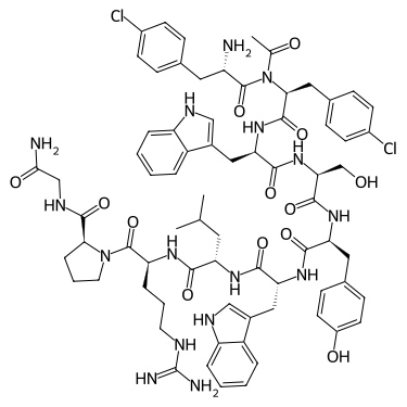 CC(=O)N(C(=O)[C@@H](N)Cc1ccc(Cl)cc1)[C@@H](Cc1ccc(Cl)cc1)C(=O)N[C@H](Cc1c[nH]c2ccccc12)C(=O)N[C@@H](CO)C(=O)N[C@@H](Cc1ccc(O)cc1)C(=O)N[C@H](Cc1c[nH]c2ccccc12)C(=O)N[C@@H](CC(C)C)C(=O)N[C@@H](CCCNC(=N)N)C(=O)N1CCC[C@H]1C(=O)NCC(N)=O